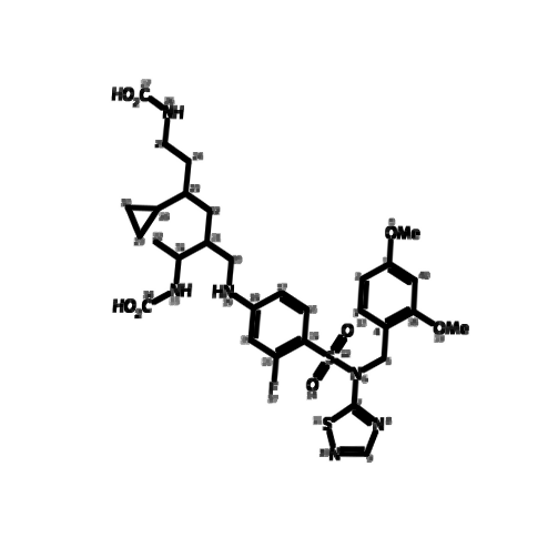 COc1ccc(CN(c2ncns2)S(=O)(=O)c2ccc(NCC(CC(CCNC(=O)O)C3CC3)C(C)NC(=O)O)cc2F)c(OC)c1